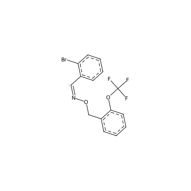 FC(F)(F)Oc1ccccc1CO/N=[C]\c1ccccc1Br